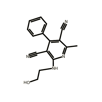 Cc1nc(NCCO)c(C#N)c(-c2ccccc2)c1C#N